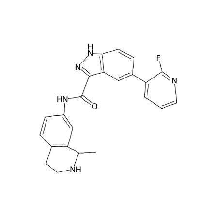 CC1NCCc2ccc(NC(=O)c3n[nH]c4ccc(-c5cccnc5F)cc34)cc21